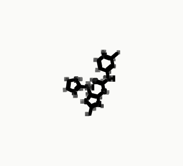 Cc1cc(NC(=O)Oc2nc(C)sc2Nc2nccs2)ccn1